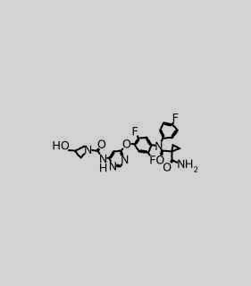 NC(=O)C1(C(=O)N(c2ccc(F)cc2)c2cc(F)c(Oc3cc(NC(=O)N4CC(CO)C4)ncn3)cc2F)CC1